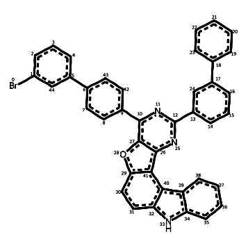 Brc1cccc(-c2ccc(-c3nc(-c4cccc(-c5ccccc5)c4)nc4c3oc3ccc5[nH]c6ccccc6c5c34)cc2)c1